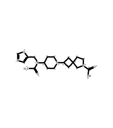 CC(=O)N(Cc1cnco1)C1CCN(C2CC3(CCN(C(=O)O)C3)C2)CC1